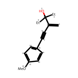 [CH2]CC(O)(CC)C(=C)C#Cc1ccc(OC)cc1